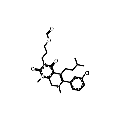 CC(C)CCC1=C(c2cccc(Cl)c2)N(C)Cc2c1c(=O)n(CCCOC=O)c(=O)n2C